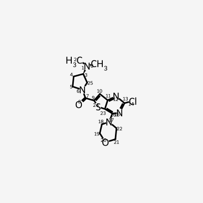 CN(C)[C@@H]1CCN(C(=O)c2cc3nc(Cl)nc(N4CCOCC4)c3s2)C1